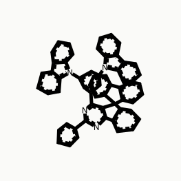 c1ccc(-c2nc(-c3cc(-n4c5ccccc5c5ccccc54)cc(-n4c5ccccc5c5ccccc54)c3)c3c(n2)-c2ccccc2C32c3ccccc3-c3ccccc32)cc1